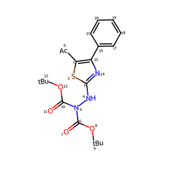 CC(=O)c1sc(NN(C(=O)OC(C)(C)C)C(=O)OC(C)(C)C)nc1-c1ccccc1